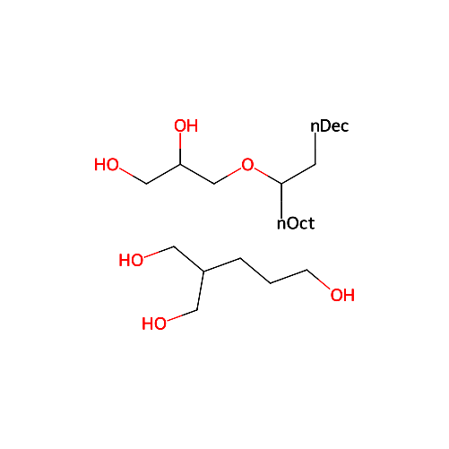 CCCCCCCCCCCC(CCCCCCCC)OCC(O)CO.OCCCC(CO)CO